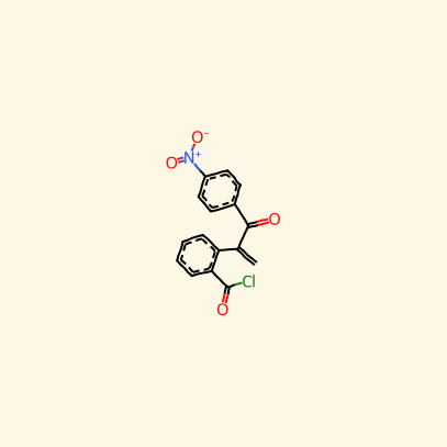 C=C(C(=O)c1ccc([N+](=O)[O-])cc1)c1ccccc1C(=O)Cl